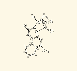 Cc1cn2c3c(c(=O)nc2c2ccccc12)[C@@H]1CCC3(C)C1(C)C